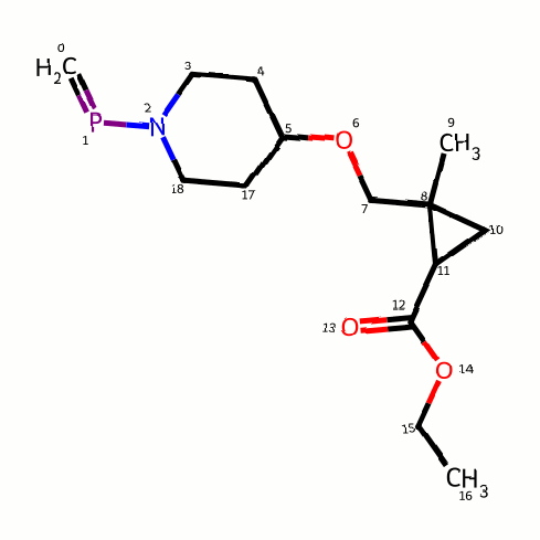 C=PN1CCC(OCC2(C)CC2C(=O)OCC)CC1